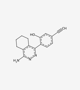 C#Cc1ccc(-c2nnc(N)c3c2CCCC3)c(O)c1